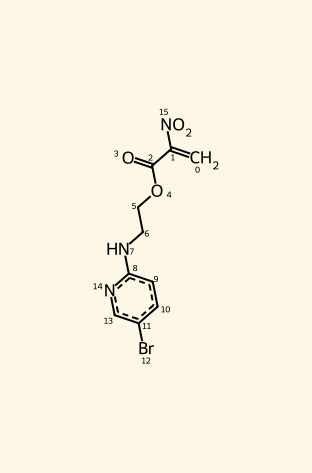 C=C(C(=O)OCCNc1ccc(Br)cn1)[N+](=O)[O-]